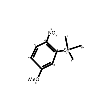 COc1ccc([N+](=O)[O-])[c]([Sn]([CH3])([CH3])[CH3])c1